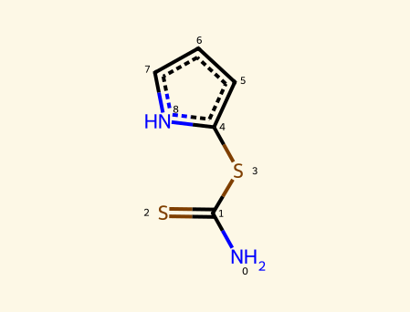 NC(=S)Sc1ccc[nH]1